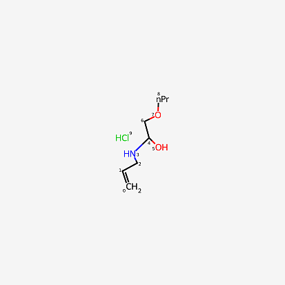 C=CCNC(O)COCCC.Cl